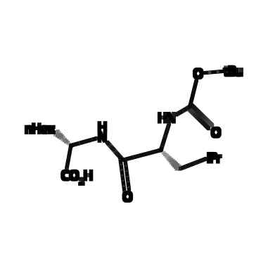 CCCCCC[C@H](NC(=O)[C@@H](CC(C)C)NC(=O)OC(C)(C)C)C(=O)O